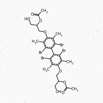 CC(=O)OC(CO)COc1c(C)c(Br)c(-c2c(Br)c(C)c(OCC(CO)OC(C)=O)c(C)c2Br)c(Br)c1C